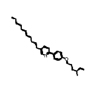 CCCCCCCCCCCc1ccc(-c2ccc(OCCCC(C)CC)cc2)nc1